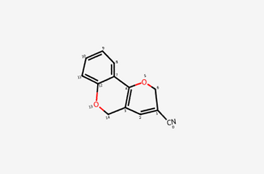 N#CC1=CC2=C(OC1)c1ccccc1OC2